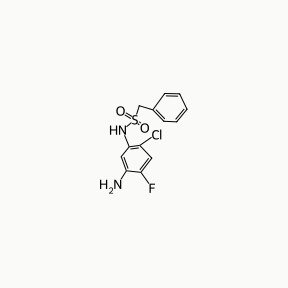 Nc1cc(NS(=O)(=O)Cc2ccccc2)c(Cl)cc1F